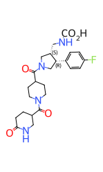 O=C(O)NC[C@H]1CN(C(=O)C2CCN(C(=O)C3CCC(=O)NC3)CC2)C[C@H]1c1ccc(F)cc1